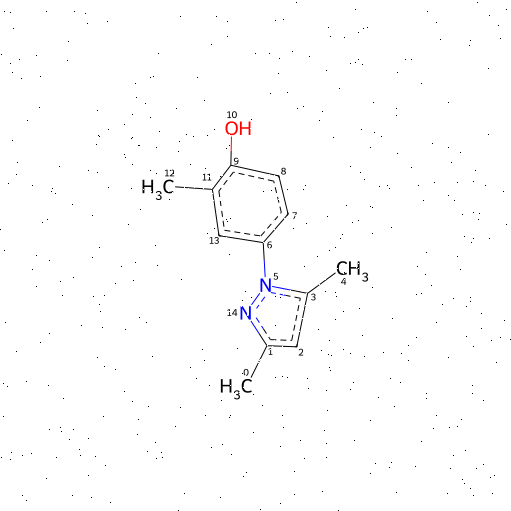 Cc1cc(C)n(-c2ccc(O)c(C)c2)n1